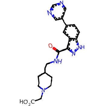 O=C(O)CN1CCC(CNC(=O)c2n[nH]c3ccc(-c4cncnc4)cc23)CC1